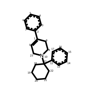 C1=C(c2ccccc2)CCN(C2(c3ccccc3)CCCCC2)C1